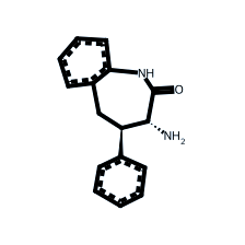 N[C@H]1C(=O)Nc2ccccc2C[C@@H]1c1ccccc1